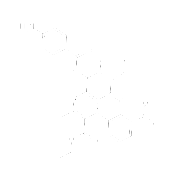 CCOC(=O)C1=C(C)NC(C(OC(=O)c2ccc(N)cc2)SC)=C(C(=O)OCC)C1c1cccc([N+](=O)[O-])c1